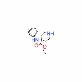 CCOC(=O)C1(Nc2ccccc2)CCNCC1